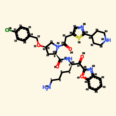 NCCCC[C@H](NC(=O)[C@@H]1C[C@@H](OCc2ccc(Cl)cc2)CN1C(=O)Cc1cnc(C2CCNCC2)s1)C(=O)c1nc2ccccc2o1